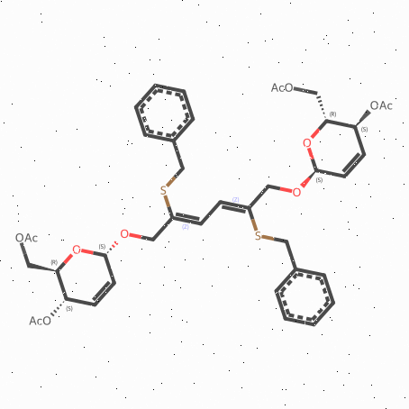 CC(=O)OC[C@H]1O[C@H](OC/C(=C/C=C(/CO[C@@H]2C=C[C@H](OC(C)=O)[C@@H](COC(C)=O)O2)SCc2ccccc2)SCc2ccccc2)C=C[C@@H]1OC(C)=O